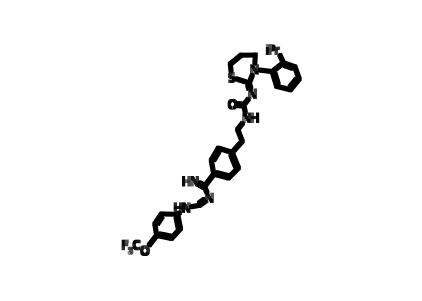 CC(C)c1ccccc1N1CCCS/C1=N\C(=O)NCCc1ccc(C(=N)/N=C\Nc2ccc(OC(F)(F)F)cc2)cc1